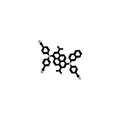 CC(C)c1cc(N(c2ccc(C#N)cc2)c2ccc(C#N)cc2)c2ccc3c(C(C)C)cc(N(c4ccc(C#N)cc4)c4ccc5ccccc5c4)c4ccc1c2c34